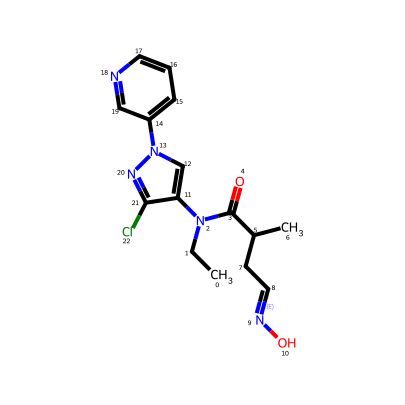 CCN(C(=O)C(C)C/C=N/O)c1cn(-c2cccnc2)nc1Cl